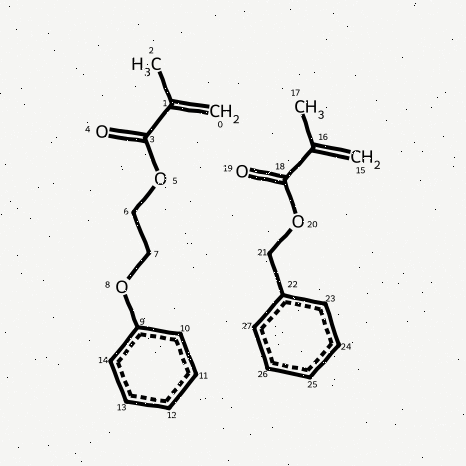 C=C(C)C(=O)OCCOc1ccccc1.C=C(C)C(=O)OCc1ccccc1